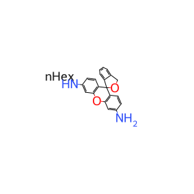 CCCCCCNc1ccc2c(c1)Oc1cc(N)ccc1C21OCc2ccccc21